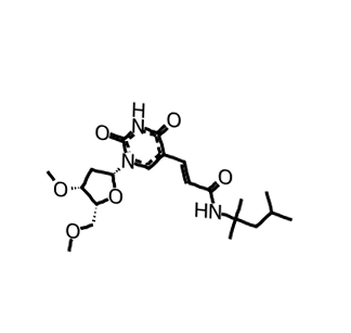 COC[C@H]1O[C@@H](n2cc(/C=C/C(=O)NC(C)(C)CC(C)C)c(=O)[nH]c2=O)C[C@H]1OC